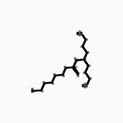 CCCCC(CCCC)OC(=O)CCCCCCBr